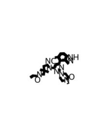 C=CC(=O)N1CC2(CCN(c3nc(N4CCN(C)C(=O)C4)nc(-c4c(C)ccc5[nH]ncc45)c3C#N)C2)C1